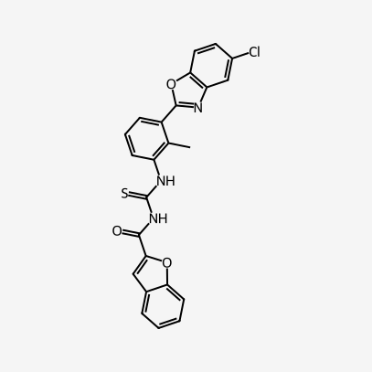 Cc1c(NC(=S)NC(=O)c2cc3ccccc3o2)cccc1-c1nc2cc(Cl)ccc2o1